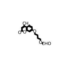 Cc1cc(=O)oc2cc(OCCCCO[C]=O)ccc12